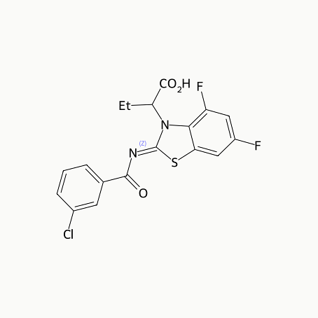 CCC(C(=O)O)n1/c(=N/C(=O)c2cccc(Cl)c2)sc2cc(F)cc(F)c21